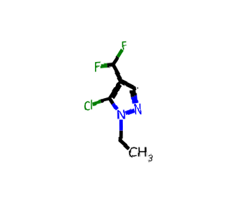 CCn1n[c]c(C(F)F)c1Cl